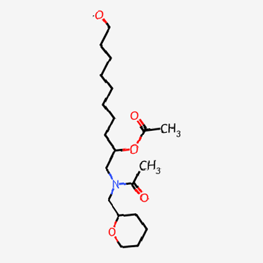 CC(=O)OC(CCCCCCCC[O])CN(CC1CCCCO1)C(C)=O